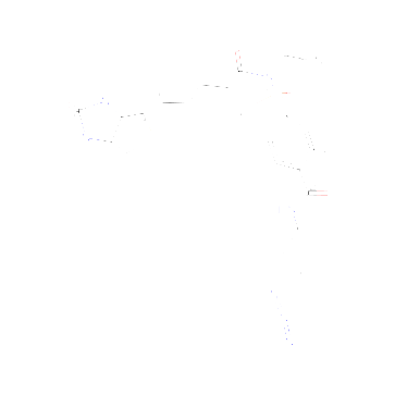 N#CCN(C(=O)CCCC[C@@H]1SCC2NC(=O)NC21)S(=O)(=O)c1ccc(C(=O)NCCCN=[N+]=[N-])cc1